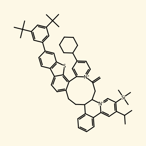 C=C1CC2C(CCc3ccc4c(sc5cc(-c6cc(C(C)(C)C)cc(C(C)(C)C)c6)ccc54)c3-c3cc(C4CCCCC4)cc[n+]31)c1ccccc1-c1cc(C(C)C)c([Si](C)(C)C)c[n+]12